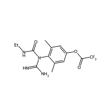 CCNC(=O)N(C(=N)N)c1c(C)cc(OC(=O)C(F)(F)F)cc1C